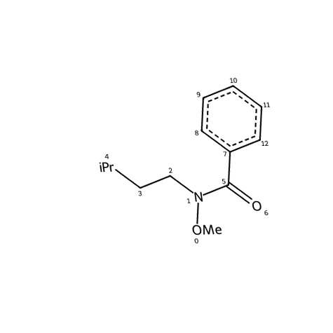 CON(CCC(C)C)C(=O)c1ccccc1